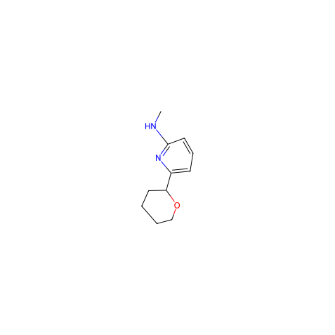 CNc1cccc(C2CCCCO2)n1